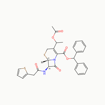 CC(=O)OC(C)C1=C(C(=O)OC(c2ccccc2)c2ccccc2)N2C(=O)[C@@H](NC(=O)Cc3cccs3)[C@@H]2SC1